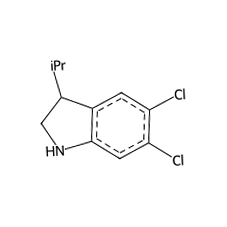 CC(C)C1CNc2cc(Cl)c(Cl)cc21